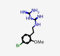 COc1cc(Br)ccc1CCNC(=N)NC(=N)N